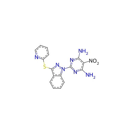 Nc1nc(-n2nc(Sc3ccccn3)c3ccccc32)nc(N)c1[N+](=O)[O-]